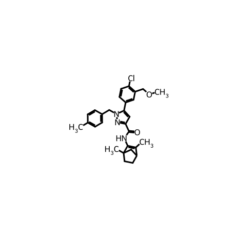 COCc1cc(-c2cc(C(=O)NC3=C(C)C4CCC3(C)C4)nn2Cc2ccc(C)cc2)ccc1Cl